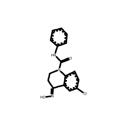 O=C(Nc1ccccc1)N1CCC(=NO)c2cc(Cl)ccc21